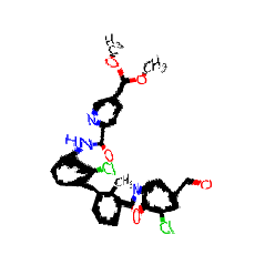 COC(OC)c1ccc(C(=O)Nc2cccc(-c3cccc(-c4nc5cc(C=O)cc(Cl)c5o4)c3C)c2Cl)nc1